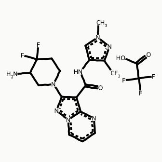 Cn1cc(NC(=O)c2c(N3CCC(F)(F)C(N)C3)nn3cccnc23)c(C(F)(F)F)n1.O=C(O)C(F)(F)F